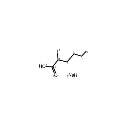 CCCCC(I)C(=O)O.[NaH]